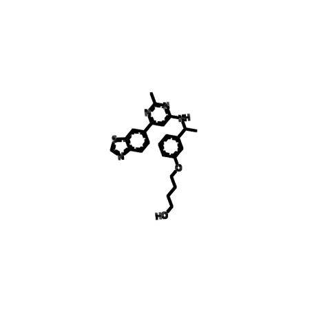 Cc1nc(NC(C)c2cccc(OCCCCO)c2)cc(-c2ccc3ncsc3c2)n1